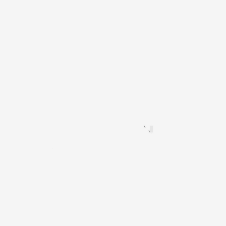 CCNc1ccc(F)cc1CC